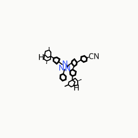 CC1C[C@@H]2C[C@H](C)CC(c3ccc(-c4cc(-c5ccc(C#N)cc5)ccc4-c4nc(-c5ccccc5)nc(-c5ccc(C67C[C@H](C)C[C@H](C[C@H](C)C6)C7)cc5)n4)cc3)(C1)C2